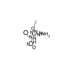 CCCCOc1nc(N=NN)c2c(n1)N(Cc1ccccc1)C(c1cncc(OC)c1)N2